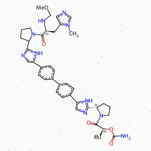 CCC(C)[C@H](OC(N)=O)C(=O)N1CCC[C@H]1c1ncc(-c2ccc(-c3ccc(-c4cnc(C5CCCN5C(=O)[C@H](Cc5cncn5C)NCOC)[nH]4)cc3)cc2)[nH]1